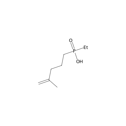 C=C(C)CCCP(=O)(O)CC